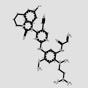 C=CC(=O)Nc1cc(Nc2ncc(C#N)c(-n3c(=O)n4c5c(cc(F)cc53)CCC4)n2)c(OC)cc1N(C)CCN(C)C